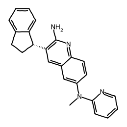 CN(c1ccc2nc(N)c([C@@H]3CCc4ccccc43)cc2c1)c1ccccn1